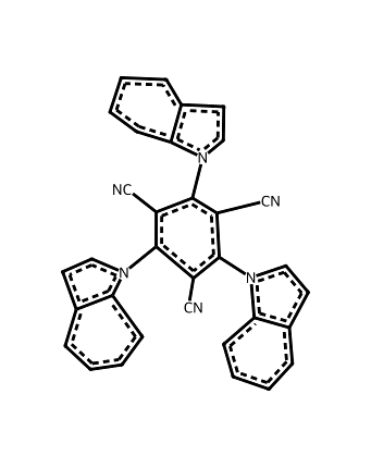 N#Cc1c(-n2ccc3ccccc32)c(C#N)c(-n2ccc3ccccc32)c(C#N)c1-n1ccc2ccccc21